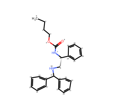 CCCCOC(=O)N[C@@H](CNC(c1ccccc1)c1ccccc1)c1ccccc1